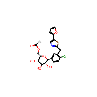 CC(C)(C)C(=O)OC[C@H]1O[C@@H](c2ccc(Cl)c(Cc3ncc(-c4ccco4)s3)c2)[C@H](O)[C@@H](O)[C@@H]1O